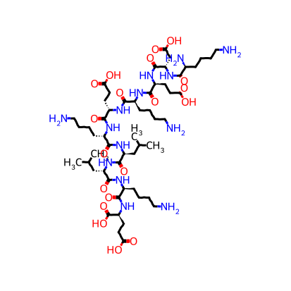 CC(C)C[C@H](NC(=O)[C@H](CC(C)C)NC(=O)[C@H](CCCCN)NC(=O)[C@H](CCC(=O)O)NC(=O)[C@H](CCCCN)NC(=O)[C@H](CCC(=O)O)NC(=O)[C@H](CC(=O)O)NC(=O)[C@@H](N)CCCCN)C(=O)N[C@@H](CCCCN)C(=O)N[C@@H](CCC(=O)O)C(=O)O